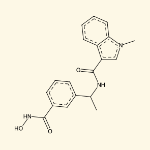 CC(NC(=O)c1cn(C)c2ccccc12)c1cccc(C(=O)NO)c1